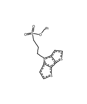 CC(C)OS(=O)(=O)CCCn1c2ccsc2c2sccc21